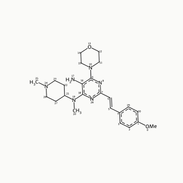 COc1ccc(/C=C/c2nc(N3CCOCC3)c(N)c(N(C)C3CCN(C)CC3)n2)cc1